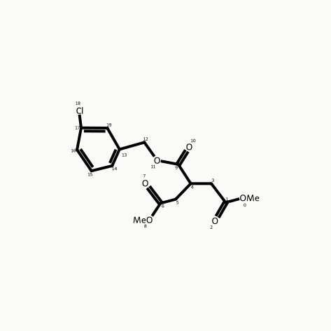 COC(=O)CC(CC(=O)OC)C(=O)OCc1cccc(Cl)c1